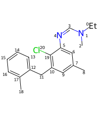 CCN(C)/C=N\c1cc(C)cc(Cc2ccccc2C)c1Cl